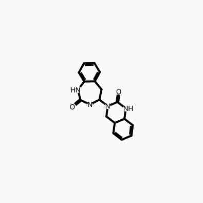 O=C1[N]C(N2CC3C=CC=CC3NC2=O)Cc2ccccc2N1